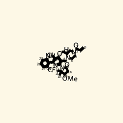 C=CC(=O)N1CCN2C(=O)c3c(N4CCC(OC)C4(C)C)nc(-c4c(N)cccc4C(F)(F)F)c(Cl)c3OC[C@H]2C1